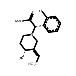 COC(=O)[C@H](c1ccccc1Cl)N1CC[C@@H](N=O)/C(=C\C(=O)O)C1